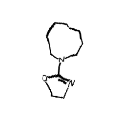 C1CCCN(C2=NCCO2)CCC1